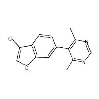 Cc1ncnc(C)c1-c1ccc2c(Cl)c[nH]c2c1